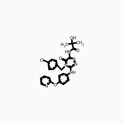 CC(C)(O)C(=O)Nc1nnc(Nc2ccc(Oc3ccccn3)cc2)n(Cc2ccc(Cl)cc2)c1=O